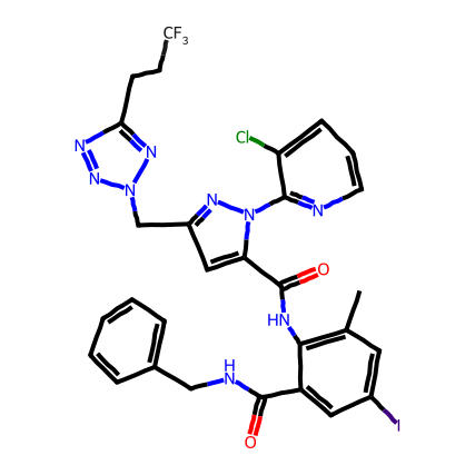 Cc1cc(I)cc(C(=O)NCc2ccccc2)c1NC(=O)c1cc(Cn2nnc(CCC(F)(F)F)n2)nn1-c1ncccc1Cl